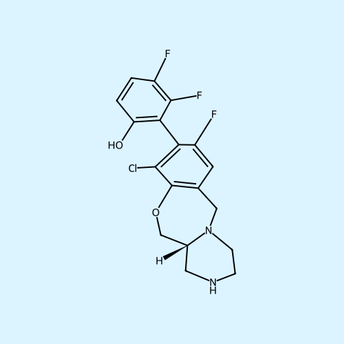 Oc1ccc(F)c(F)c1-c1c(F)cc2c(c1Cl)OC[C@H]1CNCCN1C2